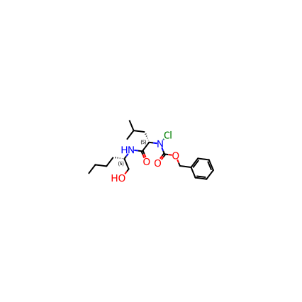 CCCC[C@@H](CO)NC(=O)[C@H](CC(C)C)N(Cl)C(=O)OCc1ccccc1